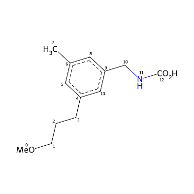 COCCCc1cc(C)cc(CNC(=O)O)c1